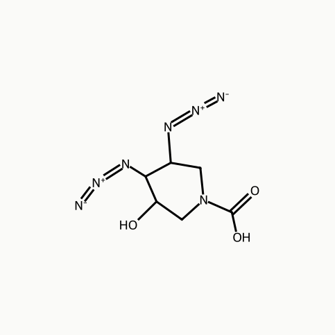 [N-]=[N+]=NC1CN(C(=O)O)CC(O)C1N=[N+]=[N-]